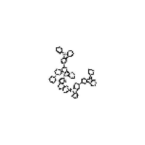 c1ccc(-c2ccccc2-c2cc(-n3c4ccccc4c4cc(-c5ccc6c(c5)c5ccccc5n6-c5ccccc5)ccc43)nc3c2ccc2ccc(-n4c5ccccc5c5cc(-c6ccc7c(c6)c6ccccc6n7-c6ccccc6)ccc54)nc23)cc1